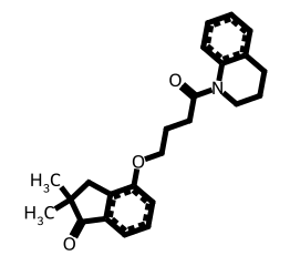 CC1(C)Cc2c(OCCCC(=O)N3CCCc4ccccc43)cccc2C1=O